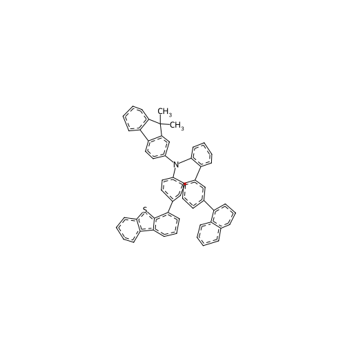 CC1(C)c2ccccc2-c2ccc(N(c3ccc(-c4cccc5c4sc4ccccc45)cc3)c3ccccc3-c3cccc(-c4cccc5ccccc45)c3)cc21